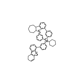 C1=Cc2sc3c(-c4cccc([Si](c5ccccc5)(c5cccc(-c6cccc7c6SC6CCCCCC76)c5)C5CCCCC5)c4)cccc3c2CC1